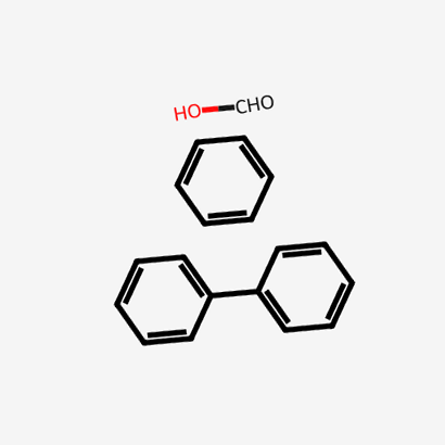 O=CO.c1ccc(-c2ccccc2)cc1.c1ccccc1